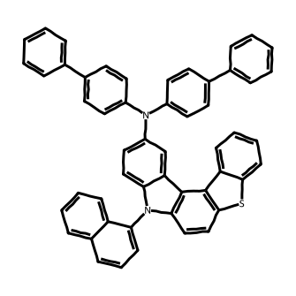 c1ccc(-c2ccc(N(c3ccc(-c4ccccc4)cc3)c3ccc4c(c3)c3c5c(ccc3n4-c3cccc4ccccc34)sc3ccccc35)cc2)cc1